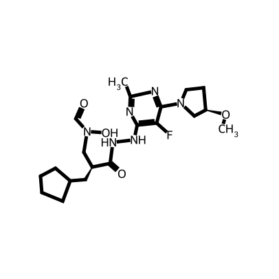 CO[C@@H]1CCN(c2nc(C)nc(NNC(=O)[C@@H](CC3CCCC3)CN(O)C=O)c2F)C1